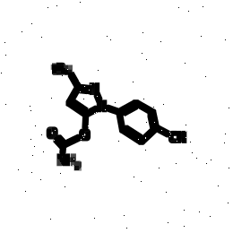 CC(C)(C)c1cc(OC(N)=O)n(-c2ccc(C#N)cc2)n1